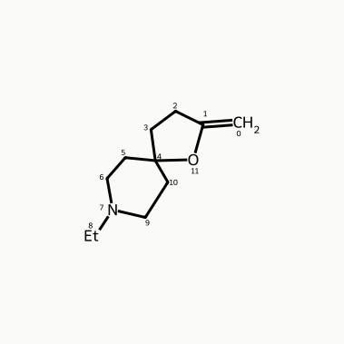 C=C1CCC2(CCN(CC)CC2)O1